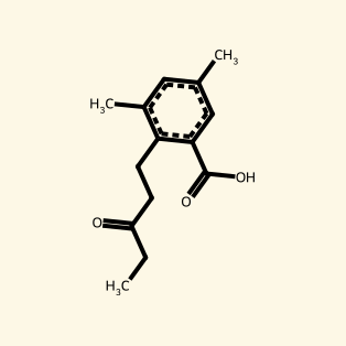 CCC(=O)CCc1c(C)cc(C)cc1C(=O)O